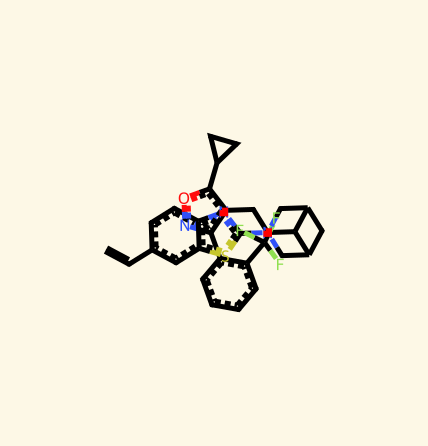 C=Cc1ccc2nc(N3CC4CC(C3)C4CCc3c(-c4ccccc4C(F)(F)F)noc3C3CC3)sc2c1